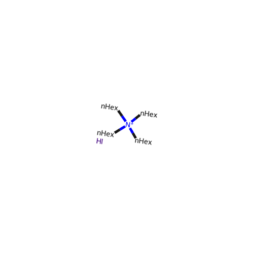 CCCCCC[N+](CCCCCC)(CCCCCC)CCCCCC.I